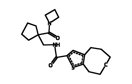 O=C(NCC1(C(=O)N2CCC2)CCCC1)c1cc2c(s1)CCCCCC2